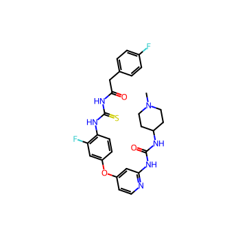 CN1CCC(NC(=O)Nc2cc(Oc3ccc(NC(=S)NC(=O)Cc4ccc(F)cc4)c(F)c3)ccn2)CC1